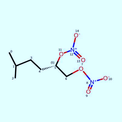 C[C](C)CC[C@@H](CO[N+](=O)[O-])O[N+](=O)[O-]